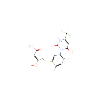 CO/C(=C/C(=O)O)CSc1cc(-n2c(=O)cc(C(F)(F)F)n(C)c2=O)c(Cl)cc1Cl